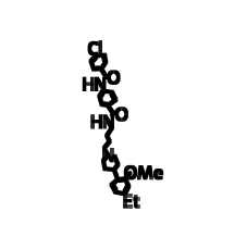 CCc1ccc(C2CCN(CCCCNC(=O)c3ccc(NC(=O)c4ccc(Cl)cc4)cc3)CC2)c(OC)c1